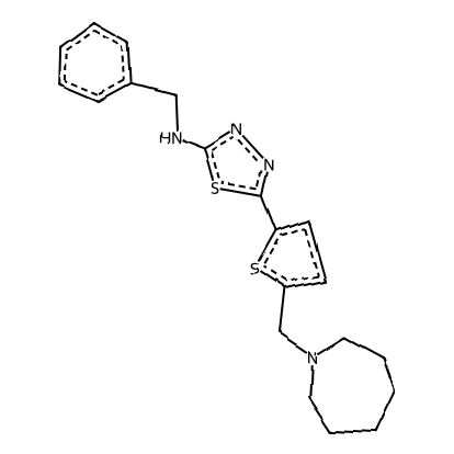 c1ccc(CNc2nnc(-c3ccc(CN4CCCCCC4)s3)s2)cc1